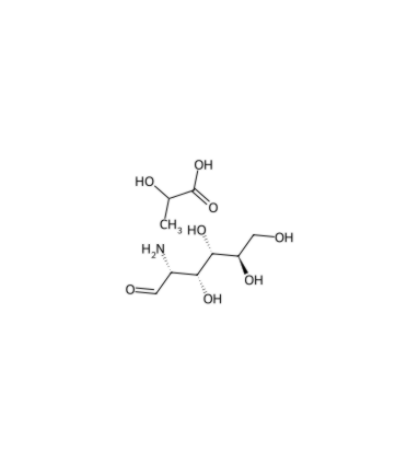 CC(O)C(=O)O.N[C@@H](C=O)[C@@H](O)[C@H](O)[C@H](O)CO